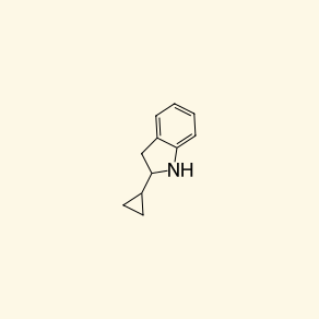 c1ccc2c(c1)CC(C1CC1)N2